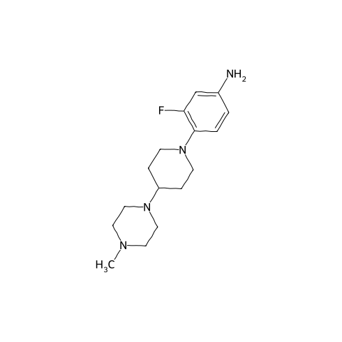 CN1CCN(C2CCN(c3ccc(N)cc3F)CC2)CC1